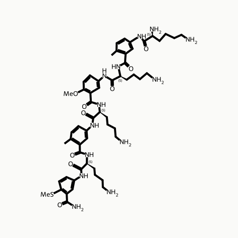 COc1ccc(NC(=O)[C@H](CCCCN)NC(=O)c2cc(NC(=O)[C@@H](N)CCCCN)ccc2C)cc1C(=O)N[C@@H](CCCCN)C(=O)Nc1ccc(C)c(C(=O)N[C@@H](CCCCN)C(=O)Nc2ccc(SC)c(C(N)=O)c2)c1